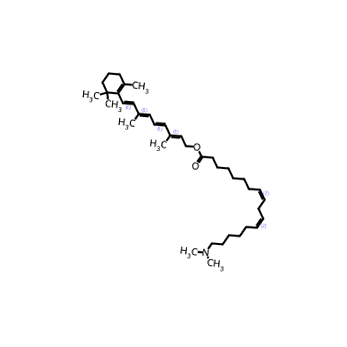 CC1=C(/C=C/C(C)=C/C=C/C(C)=C/COC(=O)CCCCCC/C=C\C/C=C\CCCCCN(C)C)C(C)(C)CCC1